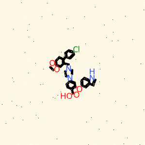 O=C(O)c1ccc(N2CCN(CC3=C(c4ccc(Cl)cc4)CCC4(C3)OCCO4)CC2)cc1Oc1ccc2[nH]ccc2c1